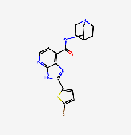 O=C(NC1CN2CCC1CC2)c1ccnc2[nH]c(-c3ccc(Br)s3)nc12